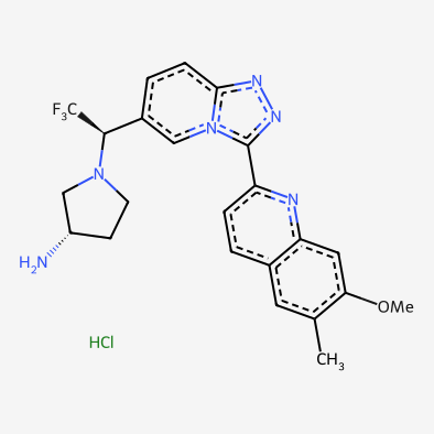 COc1cc2nc(-c3nnc4ccc([C@@H](N5CC[C@H](N)C5)C(F)(F)F)cn34)ccc2cc1C.Cl